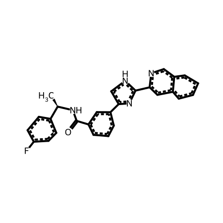 C[C@@H](NC(=O)c1cccc(-c2c[nH]c(-c3cc4ccccc4cn3)n2)c1)c1ccc(F)cc1